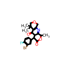 CC1OC(=O)C(c2ccc(F)c(Br)c2)C2C(=O)C3=C(COCC3(C)C)N=C12